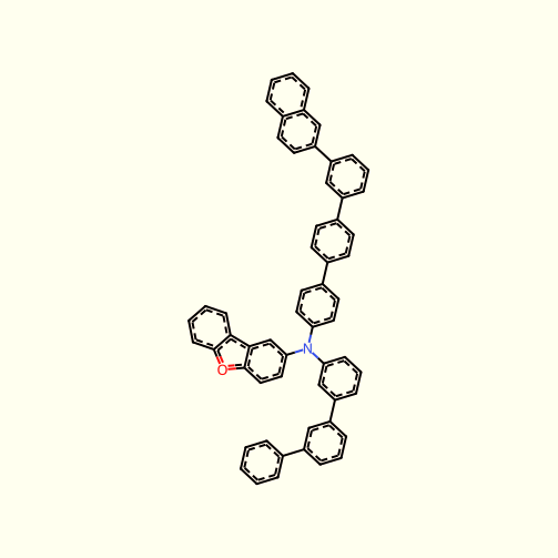 c1ccc(-c2cccc(-c3cccc(N(c4ccc(-c5ccc(-c6cccc(-c7ccc8ccccc8c7)c6)cc5)cc4)c4ccc5oc6ccccc6c5c4)c3)c2)cc1